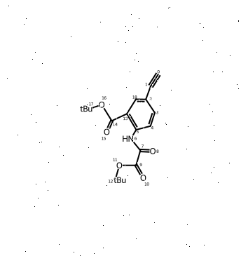 C#Cc1ccc(NC(=O)C(=O)OC(C)(C)C)c(C(=O)OC(C)(C)C)c1